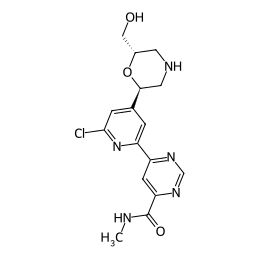 CNC(=O)c1cc(-c2cc([C@@H]3CNC[C@@H](CO)O3)cc(Cl)n2)ncn1